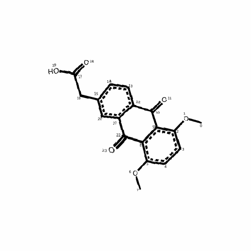 COc1ccc(OC)c2c1C(=O)c1ccc(CC(=O)O)cc1C2=O